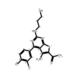 CC(=O)c1sc2nc(NCCCO)nc(-c3ccc(Cl)c(Cl)c3)c2c1N